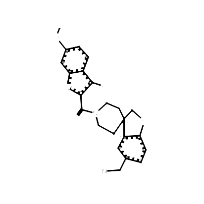 COc1ccc2c(Cl)c(C(=O)N3CCC4(CC3)COc3ccc(CN)cc34)sc2c1